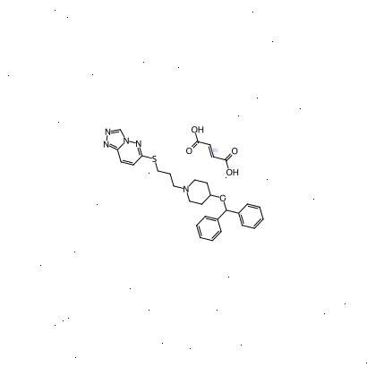 O=C(O)/C=C/C(=O)O.c1ccc(C(OC2CCN(CCCSc3ccc4nncn4n3)CC2)c2ccccc2)cc1